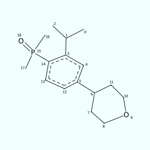 CC(C)c1cc(C2CCOCC2)ccc1P(C)(C)=O